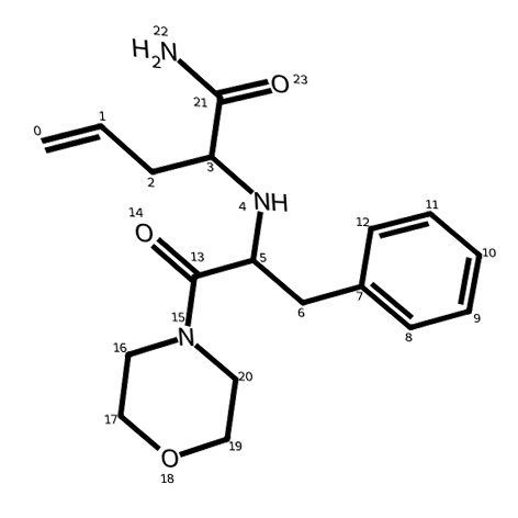 C=CCC(NC(Cc1ccccc1)C(=O)N1CCOCC1)C(N)=O